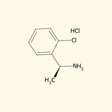 C[C@H](N)c1ccccc1Cl.Cl